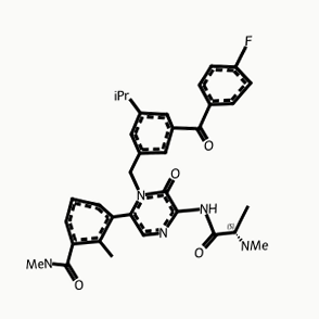 CNC(=O)c1cccc(-c2cnc(NC(=O)[C@H](C)NC)c(=O)n2Cc2cc(C(=O)c3ccc(F)cc3)cc(C(C)C)c2)c1C